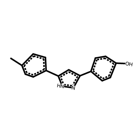 Cc1ccc(-c2cc(-c3ccc(O)cc3)n[nH]2)cc1